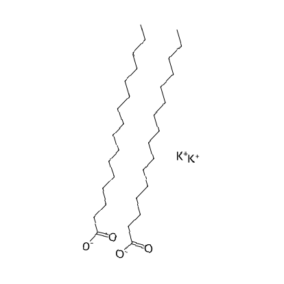 CCCCCCCCCCCCCCCC(=O)[O-].CCCCCCCCCCCCCCCC(=O)[O-].[K+].[K+]